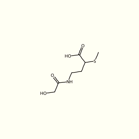 CSC(CCNC(=O)CO)C(=O)O